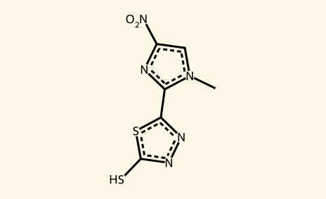 Cn1cc([N+](=O)[O-])nc1-c1nnc(S)s1